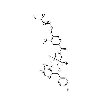 CCC(=O)O[C@H](C)COc1ccc(C(=O)NCC(O)(c2cc3c(c(-c4ccc(F)cc4)n2)OC[C@@]3(C)N)C(F)(F)F)cc1OC